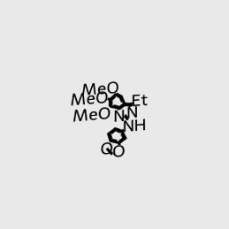 CCc1nc(Nc2ccc3c(c2)OCO3)nc2c(OC)c(OC)c(OC)cc12